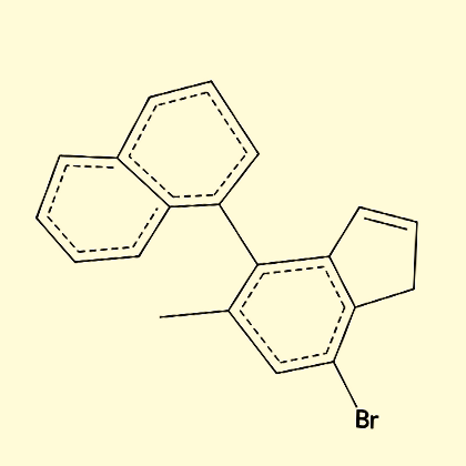 Cc1cc(Br)c2c(c1-c1cccc3ccccc13)C=CC2